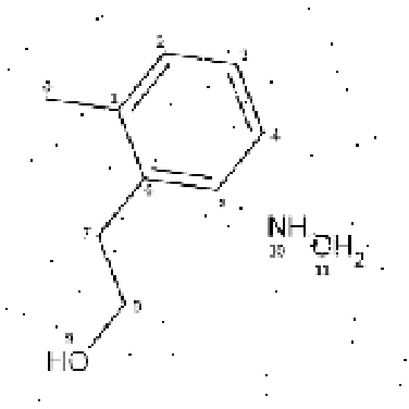 Cc1ccccc1CCO.N.O